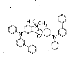 C[Si]1(C)c2ccc(N(c3ccccc3)c3cccc(-c4ccccc4)c3)cc2-c2oc3cc(N(c4ccccc4)c4cccc(-c5ccccc5)c4)ccc3c21